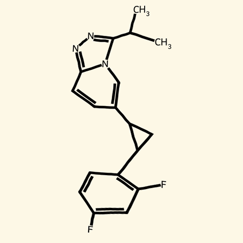 CC(C)c1nnc2ccc(C3CC3c3ccc(F)cc3F)cn12